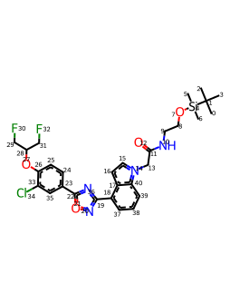 CC(C)(C)[Si](C)(C)OCCNC(=O)Cn1ccc2c(-c3noc(-c4ccc(OC(CF)CF)c(Cl)c4)n3)cccc21